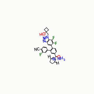 N#Cc1ccc(-c2cc(C(=O)N3[C@@H]4CC[C@H]3[C@@H](N)C4)ccc2-c2cc3nnn(CC4(O)CCC4)c3c(F)c2F)cc1F